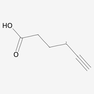 C#C[CH]CCC(=O)O